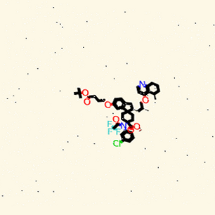 COC(=O)C1(N(C(=O)C(F)(F)F)c2cccc(Cl)c2)CCC2(CC1)c1cc(OCCCC(=O)OC(C)(C)C)ccc1C[C@@H]2C[C@@H](C)COc1ccnc2c1[C@H](C)CCC2